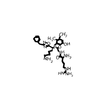 Cc1cc(O)cc(CN(C(=O)CNC(=O)C(N)CCCNC(=N)N)[C@@H](CCCCN)c2nc(Cc3ccccc3)no2)c1C